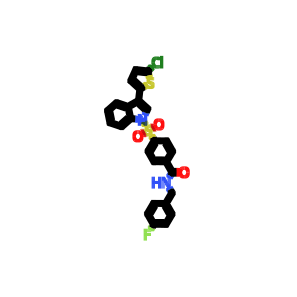 O=C(NCc1ccc(F)cc1)c1ccc(S(=O)(=O)n2cc(-c3ccc(Cl)s3)c3ccccc32)cc1